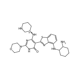 NC1CCCCC1Nc1cccc2sc(-c3c(N[C@@H]4CCCNC4)nc(N4CCOCC4)[nH]c3=O)nc12